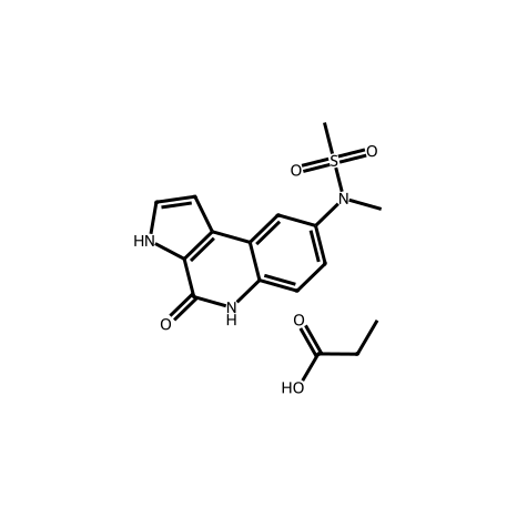 CCC(=O)O.CN(c1ccc2[nH]c(=O)c3[nH]ccc3c2c1)S(C)(=O)=O